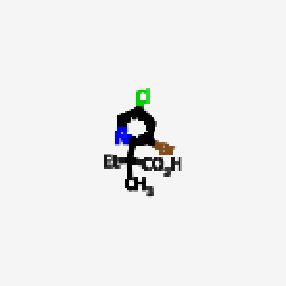 CCC(C)(C(=O)O)c1ncc(Cl)cc1Br